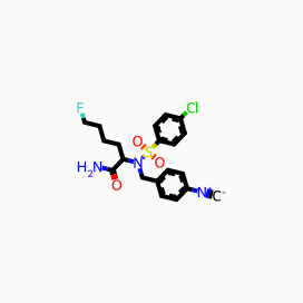 [C-]#[N+]c1ccc(CN(C(CCCCF)C(N)=O)S(=O)(=O)c2ccc(Cl)cc2)cc1